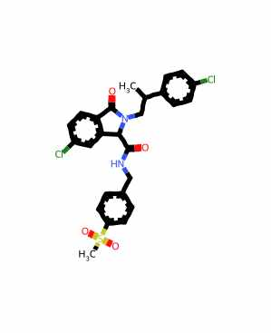 CC(CN1C(=O)c2ccc(Cl)cc2C1C(=O)NCc1ccc(S(C)(=O)=O)cc1)c1ccc(Cl)cc1